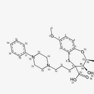 COc1ccc2c(c1)SC(CCCN1CCN(c3ccccc3)CC1)(C(=O)O)[C@H](O)[C@H](C)O2